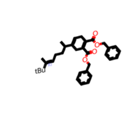 C/C(=C\CCC(C)C1=CCC(C(=O)OCc2ccccc2)=C(C(=O)OCc2ccccc2)C1)C(C)(C)C